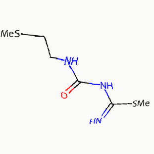 CSCCNC(=O)NC(=N)SC